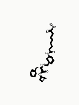 O=C(CCCCCCC(=O)Nc1cccc(CN[C@@H](Cc2ccccc2)C(=O)OC2CCCC2)c1)NO